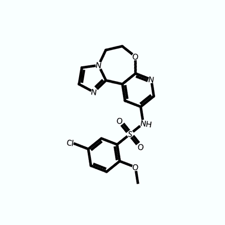 COc1ccc(Cl)cc1S(=O)(=O)Nc1cnc2c(c1)-c1nccn1CCO2